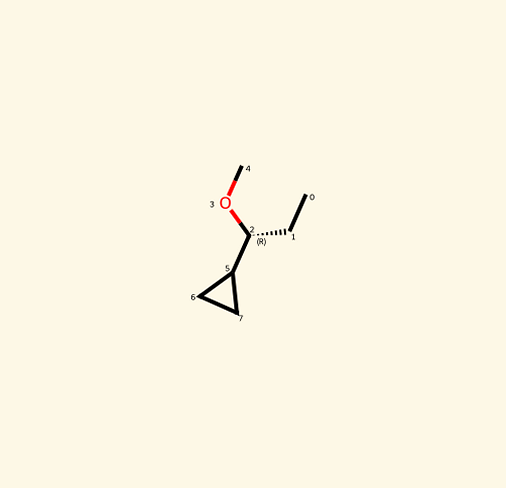 CC[C@@H](OC)C1CC1